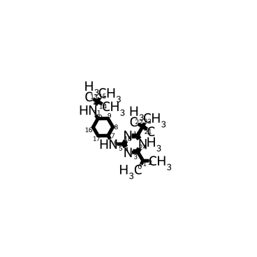 CC(C)c1nc(NC2CCC(NC(C)(C)C)CC2)nc(C(C)(C)C)n1